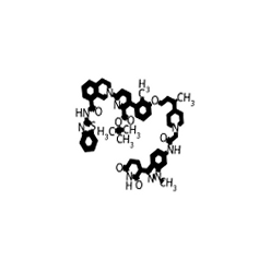 Cc1c(OCC[C@@H](C)C2CCN(CC(=O)Nc3ccc4c(C5CCC(=O)NC5=O)nn(C)c4c3)CC2)cccc1-c1ccc(N2CCc3cccc(C(=O)Nc4nc5ccccc5s4)c3C2)nc1C(=O)OC(C)(C)C